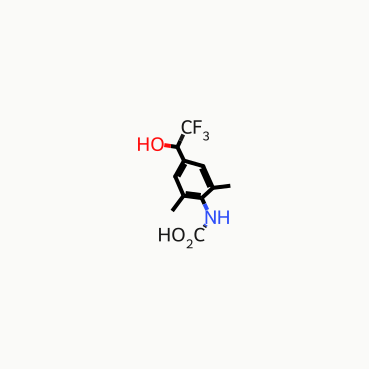 Cc1cc(C(O)C(F)(F)F)cc(C)c1NC(=O)O